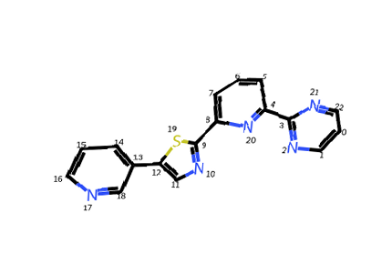 c1cnc(-c2cccc(-c3ncc(-c4cccnc4)s3)n2)nc1